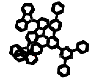 c1ccc(-c2ccc(-c3cc(-c4nc(-c5ccccc5)nc(-c5ccccc5)n4)cc(-c4ccc(-c5ccccc5)cc4)c3-n3c4cc(-n5c6ccccc6c6ccccc65)ccc4c4c(-n5c6ccccc6c6ccccc65)cccc43)cc2)cc1